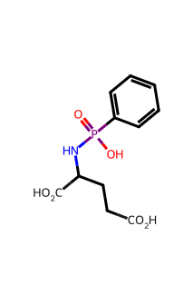 O=C(O)CCC(NP(=O)(O)c1ccccc1)C(=O)O